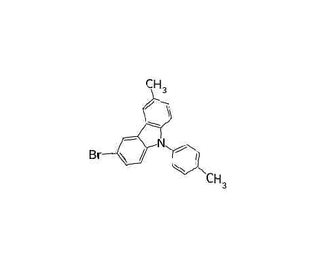 Cc1ccc(-n2c3ccc(C)cc3c3cc(Br)ccc32)cc1